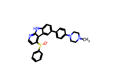 CN1CCN(c2ccc(-c3ccc4[nH]c5nccc([S+]([O-])c6ccccc6)c5c4c3)cc2)CC1